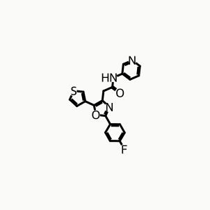 O=C(Cc1nc(-c2ccc(F)cc2)oc1-c1ccsc1)Nc1cccnc1